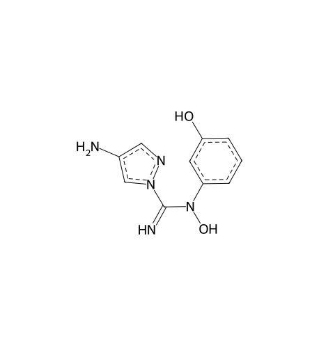 N=C(N(O)c1cccc(O)c1)n1cc(N)cn1